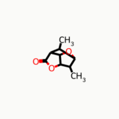 CC1C2OC3C1OC(=O)C3C2C